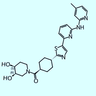 Cc1ccnc(Nc2cccc(-c3cnc([C@H]4CC[C@H](C(=O)N5CC[C@H](O)[C@H](O)C5)CC4)s3)n2)c1